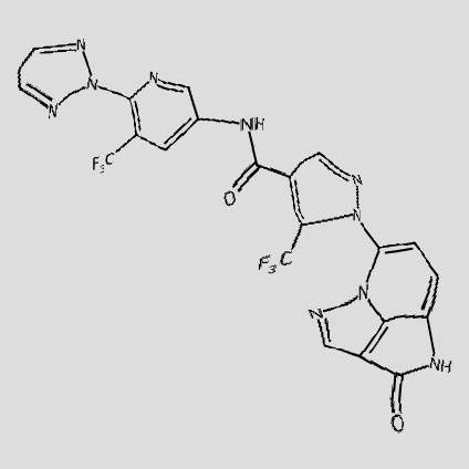 O=C(Nc1cnc(-n2nccn2)c(C(F)(F)F)c1)c1cnn(-c2ccc3[nH]c(=O)c4cnn2c34)c1C(F)(F)F